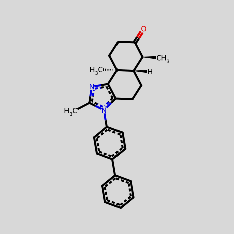 Cc1nc2c(n1-c1ccc(-c3ccccc3)cc1)CC[C@H]1[C@H](C)C(=O)CC[C@]21C